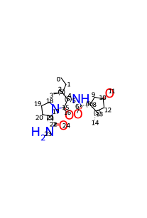 CC[C@H](C)[C@H](NC(=O)[C@@H]1CC(=O)C[C@@H]1C)C(=O)N1CCC[C@H]1C(N)=O